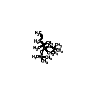 C=C[SiH2]C(C)(C)[Si](C)(O[Si](C)(C)C)O[Si](C)(C)C